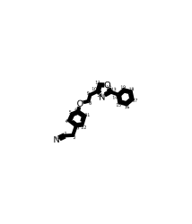 N#CCc1ccc(OCCc2coc(-c3ccccc3)n2)cc1